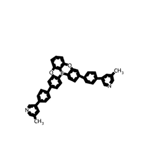 Cc1cncc(-c2ccc(-c3ccc4c(c3)Oc3cccc5c3B4c3ccc(-c4ccc(-c6cncc(C)c6)cc4)cc3O5)cc2)c1